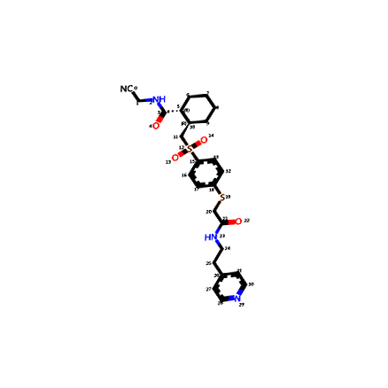 N#CCNC(=O)[C@@H]1CCCC[C@H]1CS(=O)(=O)c1ccc(SCC(=O)NCCc2ccncc2)cc1